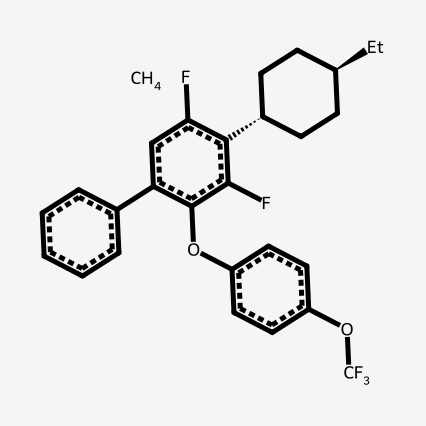 C.CC[C@H]1CC[C@H](c2c(F)cc(-c3ccccc3)c(Oc3ccc(OC(F)(F)F)cc3)c2F)CC1